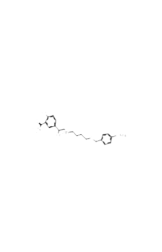 COc1ccc(COCCCCNCC(O)c2ccc(O)c(C(N)=O)c2)cc1